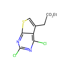 CCOC(=O)Cc1csc2nc(Cl)nc(Cl)c12